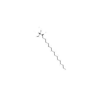 CCCCCCCCCCCCCCCCC(=O)C(O)(CO)CO